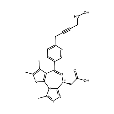 Cc1sc2c(c1C)C(c1ccc(CC#CCNO)cc1)=N[C@@H](CC(=O)O)c1nnc(C)n1-2